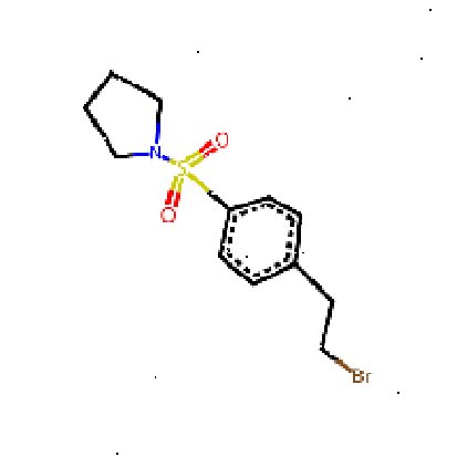 O=S(=O)(c1ccc(CCBr)cc1)N1CCCC1